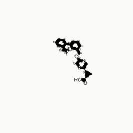 O=C(O)[C@@H]1C[C@H]1c1cnc(OCc2cccc(-c3ccccc3C(F)(F)F)c2)cn1